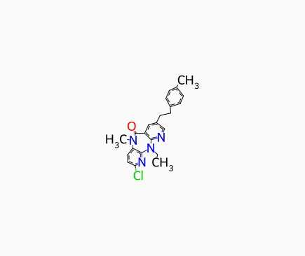 CCN1c2ncc(CCc3ccc(C)cc3)cc2C(=O)N(C)c2ccc(Cl)nc21